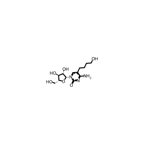 Nc1nc(=O)n([C@@H]2O[C@H](CO)[C@@H](O)[C@@H]2O)cc1CCCCO